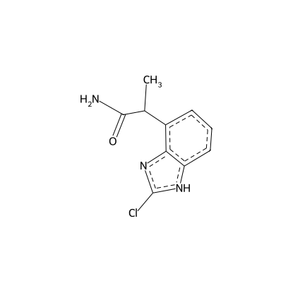 CC(C(N)=O)c1cccc2[nH]c(Cl)nc12